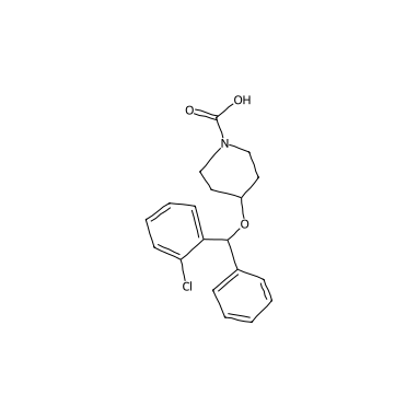 O=C(O)N1CCC(OC(c2ccccc2)c2ccccc2Cl)CC1